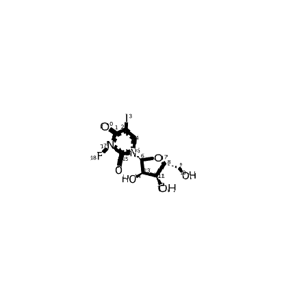 O=c1c(I)cn([C@@H]2O[C@H](CO)[C@@H](O)[C@H]2O)c(=O)n1F